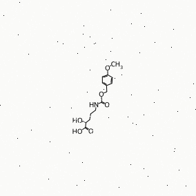 COc1ccc(COC(=O)NCCC[C@H](O)C(=O)O)cc1